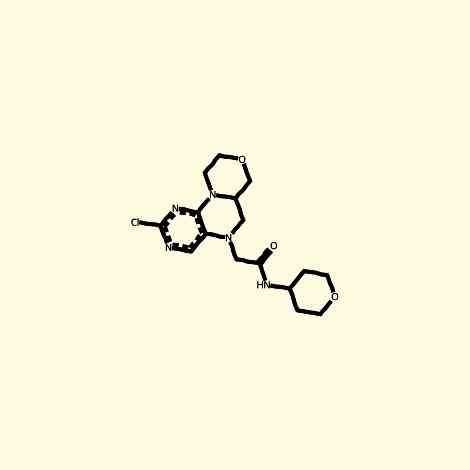 O=C(CN1CC2COCCN2c2nc(Cl)ncc21)NC1CCOCC1